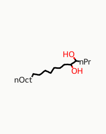 CCCCCCCCCCCCCCCC(O)C(O)CCC